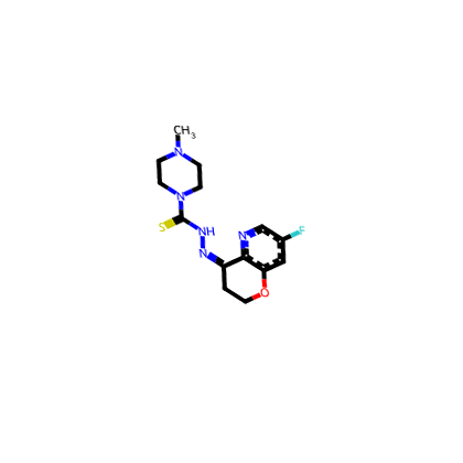 CN1CCN(C(=S)N/N=C2/CCOc3cc(F)cnc32)CC1